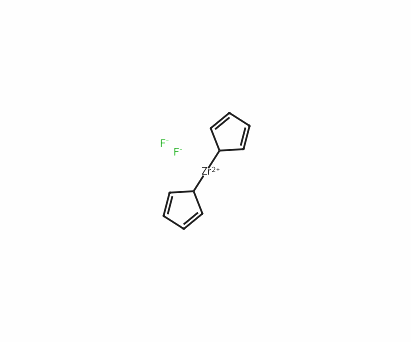 C1=C[CH]([Zr+2][CH]2C=CC=C2)C=C1.[F-].[F-]